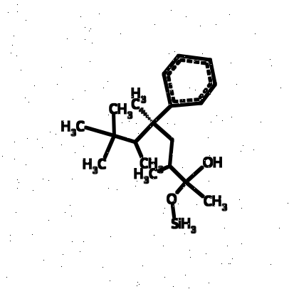 CC(C[C@](C)(c1ccccc1)C(C)C(C)(C)C)C(C)(O)O[SiH3]